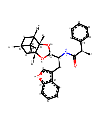 C[C@@H](C(=O)N[C@@H](Cc1coc2ccccc12)B1O[C@@H]2C[C@@H]3C[C@@H](C3(C)C)[C@]2(C)O1)c1ccccc1